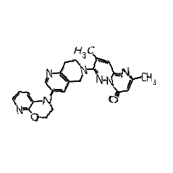 Cc1cc(=O)n2nc(N3CCc4ncc(N5CCOc6ncccc65)cc4C3)c(C)cc2n1